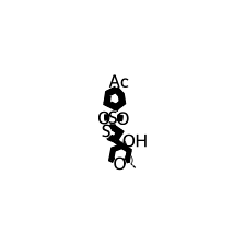 CC(=O)c1ccc(S(=O)(=O)c2cc([C@]3(O)CCO[C@@H](C)C3)cs2)cc1